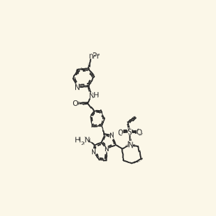 C=CS(=O)(=O)N1CCCCC1c1nc(-c2ccc(C(=O)Nc3cc(CCC)ccn3)cc2)c2c(N)nccn12